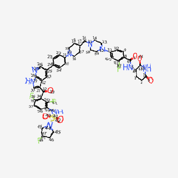 O=C1CC[C@H](NC(=O)c2ccc(N3CCN(CC4CCN(c5ccc(-c6cnc7[nH]cc(C(=O)c8c(F)ccc(NS(=O)(=O)N9CC[C@@H](F)C9)c8F)c7c6)cc5)CC4)CC3)cc2F)C(=O)N1